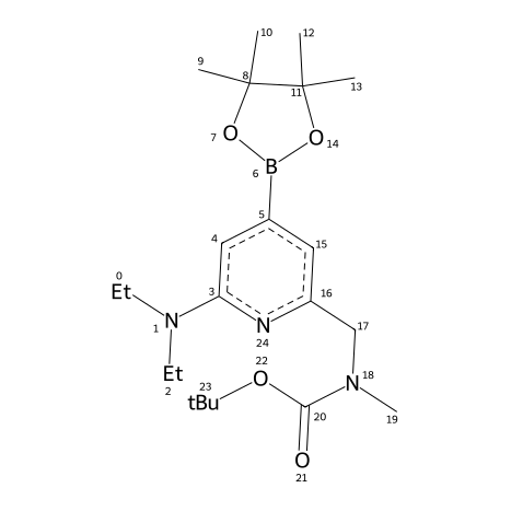 CCN(CC)c1cc(B2OC(C)(C)C(C)(C)O2)cc(CN(C)C(=O)OC(C)(C)C)n1